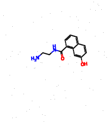 NCCNC(=O)c1cccc2ccc(O)cc12